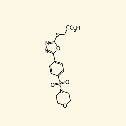 O=C(O)CSc1nnc(-c2ccc(S(=O)(=O)N3CCOCC3)cc2)o1